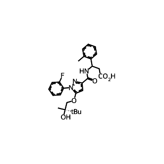 Cc1ccccc1C(CC(=O)O)NC(=O)c1cc(OC[C@](C)(O)C(C)(C)C)n(-c2ccccc2F)n1